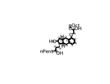 CCCCCCCCOC(O)COc1cccc2c1C[C@H]1C[C@@H](O)[C@H](CC[C@@H](O)CCCCC)[C@H]1C2